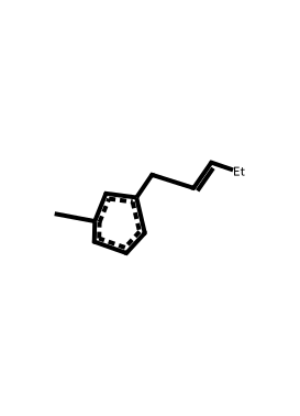 CCC=CCc1cccc(C)c1